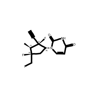 C#C[C@@]1(F)[C@H](C)[C@@](F)(CI)C[C@H]1n1ccc(=O)[nH]c1=O